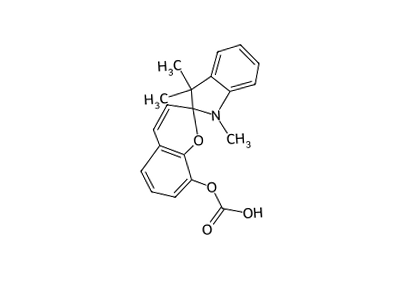 CN1c2ccccc2C(C)(C)C12C=Cc1cccc(OC(=O)O)c1O2